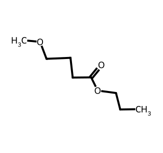 CCCOC(=O)CCCOC